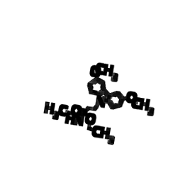 CCOP(=N)(CCn1c2ccc(OC)cc2c2cc(OC)ccc21)OCC